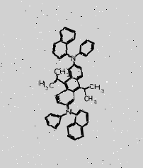 CC(C)c1c2ccc(N(c3ccccc3)c3cccc4ccccc34)cc2c(C(C)C)c2ccc(N(c3ccccc3)c3cccc4ccccc34)cc12